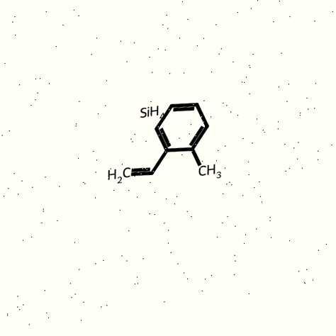 C=Cc1ccccc1C.[SiH4]